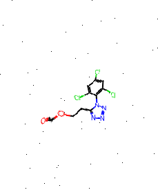 O=[C]OCCc1nnnn1-c1c(Cl)cc(Cl)cc1Cl